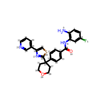 Nc1ccc(F)cc1NC(=O)c1ccc(C2(c3nc(-c4cccnc4)cs3)CCOCC2)cc1